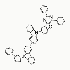 c1ccc(-c2cccc(-n3c4ccccc4c4cc(-c5ccc6c(c5)c5ccccc5n6-c5ccc6oc7c(-c8ccccc8)nc(-c8ccccc8)nc7c6c5)ccc43)c2)cc1